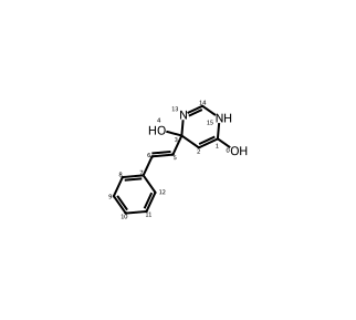 OC1=CC(O)(/C=C/c2ccccc2)N=CN1